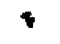 CC1(C)c2ccccc2N(c2ccc(-c3nc4ccncc4n3-c3ccccc3)cc2)c2ccccc21